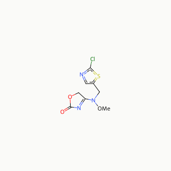 CON(Cc1cnc(Cl)s1)C1=NC(=O)OC1